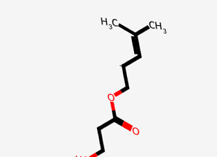 CC(C)=C[CH]COC(=O)CCO